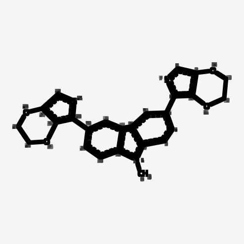 Cn1c2ccc(-c3scc4c3OCCO4)cc2c2cc(-c3scc4c3OCCO4)ccc21